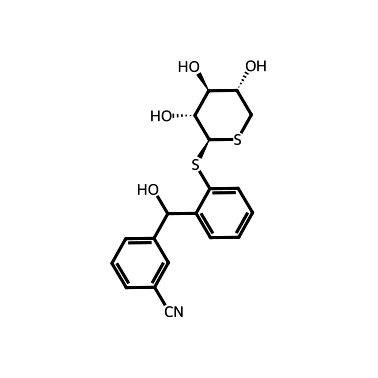 N#Cc1cccc(C(O)c2ccccc2S[C@@H]2SC[C@@H](O)[C@H](O)[C@H]2O)c1